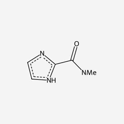 CNC(=O)c1ncc[nH]1